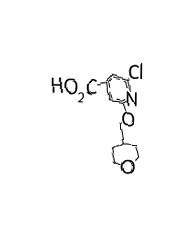 O=C(O)c1cc(Cl)nc(OCC2CCOCC2)c1